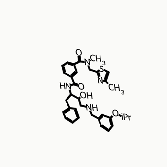 Cc1csc(CN(C)C(=O)c2cccc(C(=O)NC(Cc3ccccc3)C(O)CNCc3cccc(OC(C)C)c3)c2)n1